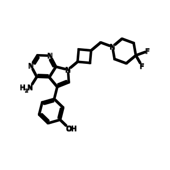 Nc1ncnc2c1c(-c1cccc(O)c1)cn2C1CC(CN2CCC(F)(F)CC2)C1